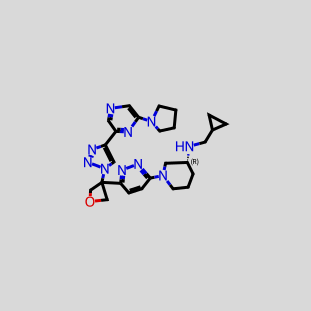 c1ncc(N2CCCC2)nc1-c1cn(C2(c3ccc(N4CCC[C@@H](NCC5CC5)C4)nn3)COC2)nn1